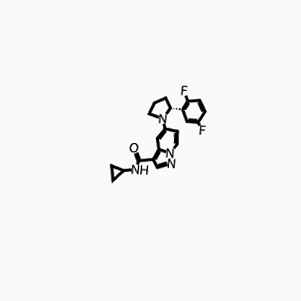 O=C(NC1CC1)c1cnn2ccc(N3CCC[C@@H]3c3cc(F)ccc3F)cc12